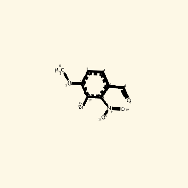 COc1ccc(C=O)c([N+](=O)[O-])c1Br